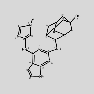 Cn1cnc(Nc2nc(NC3C4CC5CC3CC(O)(C5)C4)nc3[nH]ccc23)c1